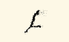 CC/C=C\C/C=C\C/C=C\CCCCCCC(O)CN(CCCCC(=O)OCCN1CCN(CCSSCCCN(CC(O)CCCCCCCC)CC(O)CCCCCCCC)CC1)CC(O)CCCCCC/C=C\C/C=C\C/C=C\CC